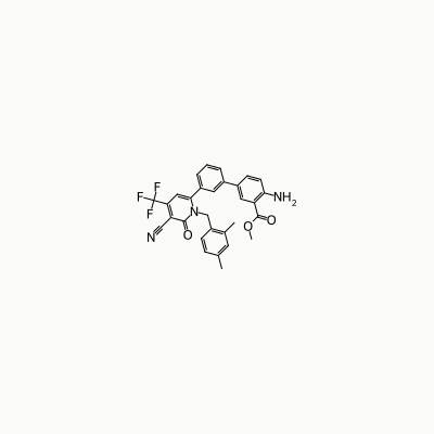 COC(=O)c1cc(-c2cccc(-c3cc(C(F)(F)F)c(C#N)c(=O)n3Cc3ccc(C)cc3C)c2)ccc1N